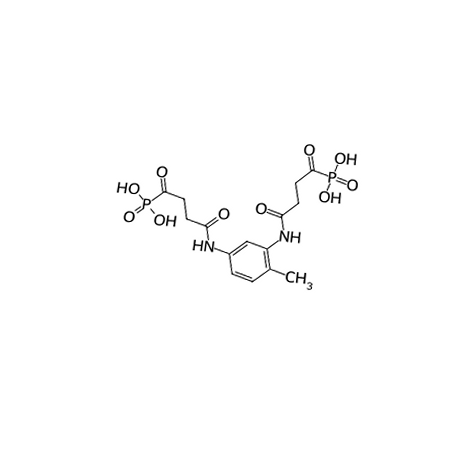 Cc1ccc(NC(=O)CCC(=O)P(=O)(O)O)cc1NC(=O)CCC(=O)P(=O)(O)O